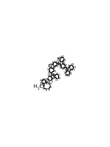 C=C1/C=C\C=C/CN(c2ccc3c(c2)c2ccccc2n3-c2ccc3oc4ccc(-n5c6ccc(-n7c8ccccc8c8ccccc87)cc6c6cccnc65)cc4c3c2)c2ccccc21